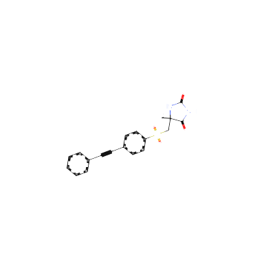 CC1(CS(=O)(=O)c2ccc(C#Cc3ccccc3)cc2)NC(=O)NC1=O